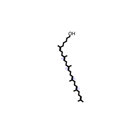 CC(C)=CCC/C(C)=C/CC/C(C)=C/CC/C=C(\C)CC/C=C(\C)CCC=C(C)CCCCCO